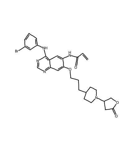 C=CC(=O)Nc1cc2c(Nc3cccc(Br)c3)ncnc2cc1OCCCC1CCN(C2COC(=O)C2)CC1